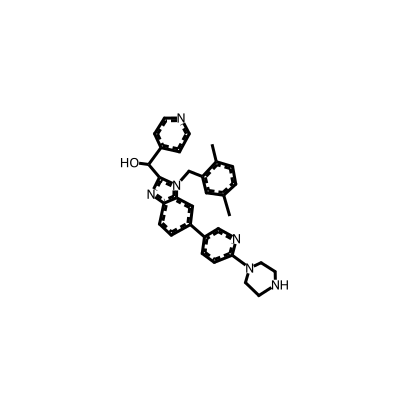 Cc1ccc(C)c(Cn2c(C(O)c3ccncc3)nc3ccc(-c4ccc(N5CCNCC5)nc4)cc32)c1